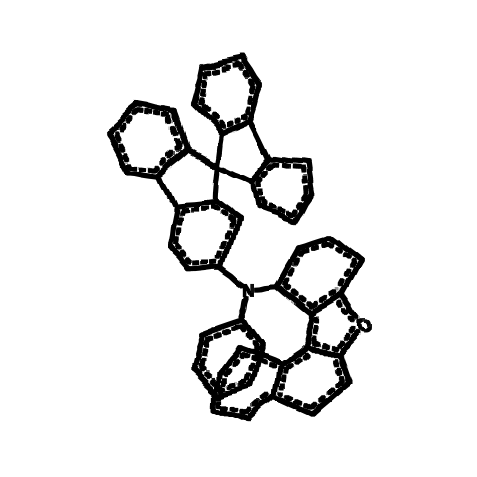 c1ccc(N(c2ccc3c(c2)C2(c4ccccc4-c4ccccc42)c2ccccc2-3)c2cccc3oc4ccc5ccccc5c4c23)cc1